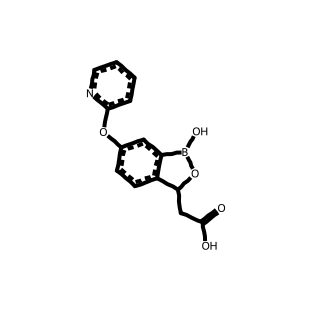 O=C(O)CC1OB(O)c2cc(Oc3ccccn3)ccc21